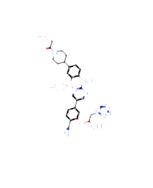 COc1cc(C2CCN(C(=O)CO)CC2)ccc1Nc1ncc(-c2ccc(C#N)c(OC(C)Cn3cnnn3)c2)cn1